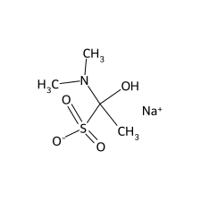 CN(C)C(C)(O)S(=O)(=O)[O-].[Na+]